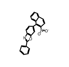 O=[N+]([O-])c1ccc2ccccc2c1-c1ccc2nc(-c3ccccc3)oc2c1